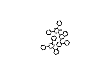 c1ccc(C2=NC(c3cc(-c4ccc(-c5ccccc5-c5nc(-c6ccccc6)nc(-c6ccccc6)n5)cc4-c4ccccc4)cc4ccccc34)NC(c3ccccc3)=N2)cc1